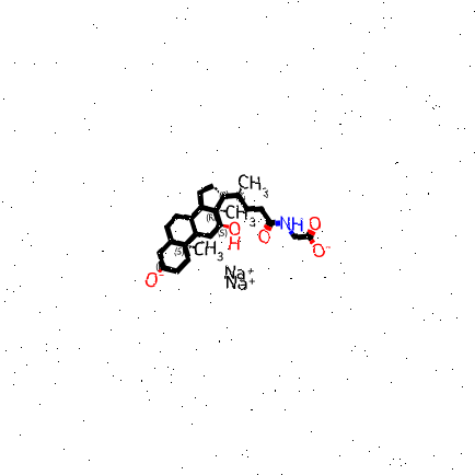 C[C@H](CCC(=O)NCC(=O)[O-])[C@H]1CCC2C3CCC4C[C@H]([O-])CC[C@]4(C)C3C[C@H](O)[C@@]21C.[Na+].[Na+]